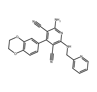 N#Cc1c(N)nc(NCc2ccccn2)c(C#N)c1-c1ccc2c(c1)OCCO2